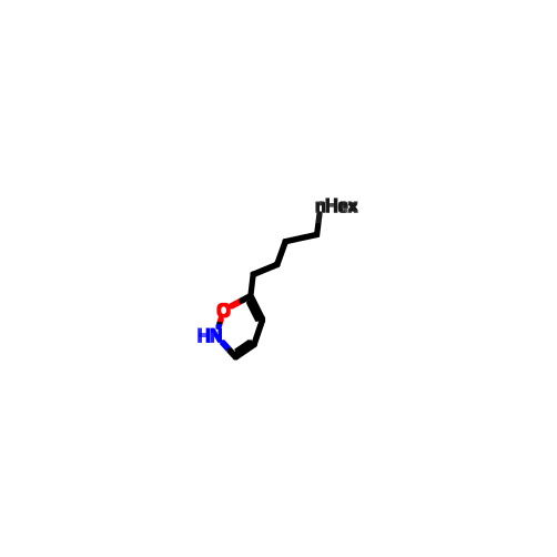 CCCCCCCCCCC1=CC=CNO1